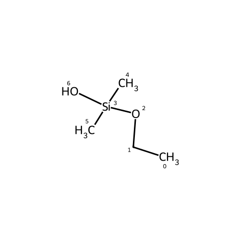 CCO[Si](C)(C)O